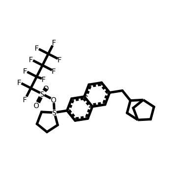 O=S(=O)(OS1(c2ccc3cc(CC4CC5CCC4C5)ccc3c2)CCCC1)C(F)(F)C(F)(F)C(F)(F)C(F)(F)F